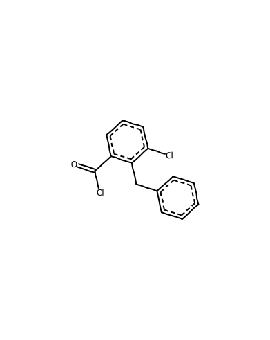 O=C(Cl)c1cccc(Cl)c1Cc1ccccc1